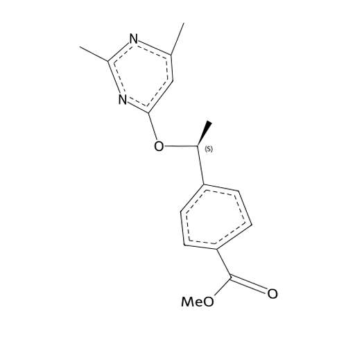 COC(=O)c1ccc([C@H](C)Oc2cc(C)nc(C)n2)cc1